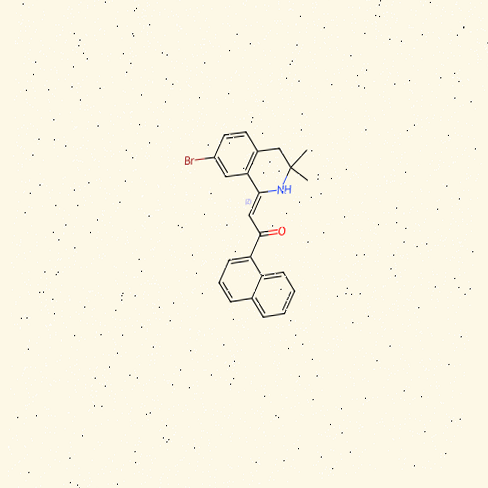 CC1(C)Cc2ccc(Br)cc2/C(=C/C(=O)c2cccc3ccccc23)N1